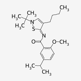 CCCCc1cn(C(C)(C)C)sc1=NC(=O)c1cc(C(C)C)ccc1OC